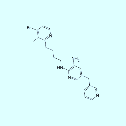 Cc1c(Br)ccnc1CCCCNc1ncc(Cc2cccnc2)cc1N